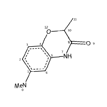 CNc1ccc2c(c1)NC(=O)C(C)O2